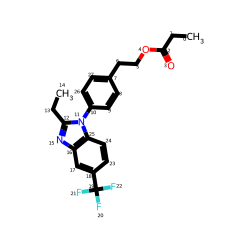 CCC(=O)OCCc1ccc(-n2c(CC)nc3cc(C(F)(F)F)ccc32)cc1